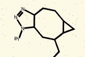 CC(C)CC1CC2C(CCC3CC31)N=NN2C(C)C